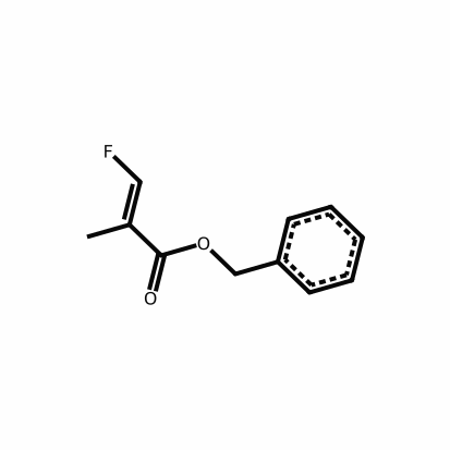 CC(=CF)C(=O)OCc1ccccc1